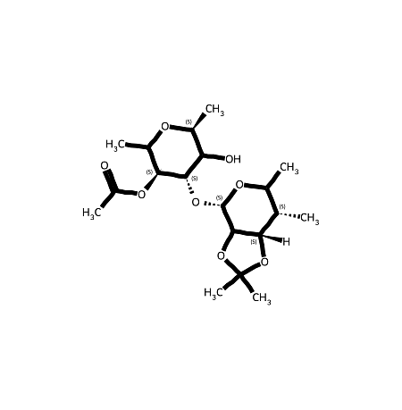 CC(=O)O[C@H]1C(C)O[C@@H](C)C(O)[C@@H]1O[C@@H]1OC(C)[C@H](C)[C@@H]2OC(C)(C)OC12